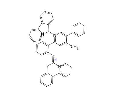 Cc1cc(-c2ccccc2/C=C2\Cc3ccccc3-c3cccc[n+]32)[n+](C2c3ccccc3-c3cccc[n+]32)cc1-c1ccccc1